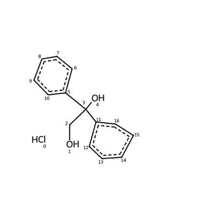 Cl.OCC(O)(c1ccccc1)c1ccccc1